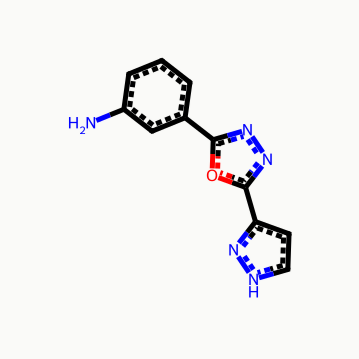 Nc1cccc(-c2nnc(-c3cc[nH]n3)o2)c1